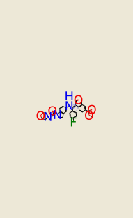 COC(=O)c1ccc(/C(C=O)=C(/Nc2ccc3c(c2)CCN3C(=O)CN2CCOCC2)c2ccc(F)cc2)c(C)c1